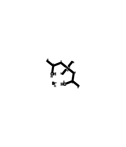 CC(O)C[N+](C)(C)CC(C)O.[Br-]